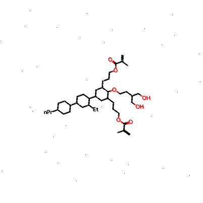 C=C(C)C(=O)OCCCC1CC(C2CCC(C3CCC(CCC)CC3)CC2CC)CC(CCCOC(=O)C(=C)C)C1OCCC(CO)CO